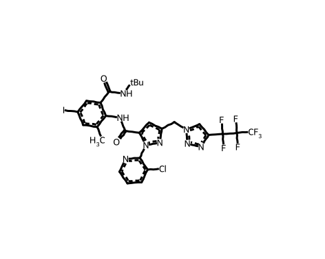 Cc1cc(I)cc(C(=O)NC(C)(C)C)c1NC(=O)c1cc(Cn2cc(C(F)(F)C(F)(F)C(F)(F)F)nn2)nn1-c1ncccc1Cl